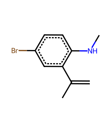 C=C(C)c1cc(Br)ccc1NC